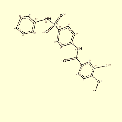 COc1ccc(C(=O)Nc2ccc(S(=O)(=O)Nc3ccccc3)cc2)cc1I